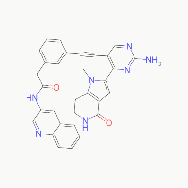 Cn1c(-c2nc(N)ncc2C#Cc2cccc(CC(=O)Nc3cnc4ccccc4c3)c2)cc2c1CCNC2=O